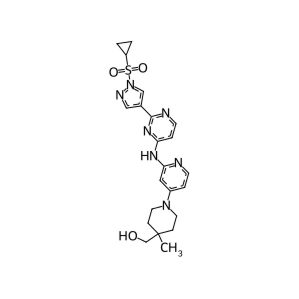 CC1(CO)CCN(c2ccnc(Nc3ccnc(-c4cnn(S(=O)(=O)C5CC5)c4)n3)c2)CC1